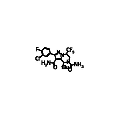 CC(C)(C)C1c2c(C(N)=O)c(-c3ccc(F)c(Cl)c3)nn2C(C(F)(F)F)CN1C(N)=O